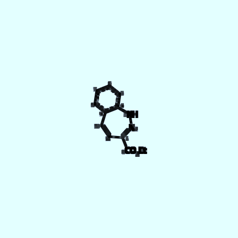 CCOC(=O)C1=NNc2ccccc2C=C1